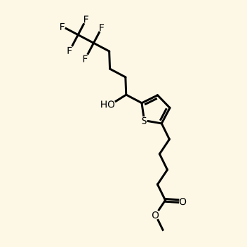 COC(=O)CCCCc1ccc(C(O)CCCC(F)(F)C(F)(F)F)s1